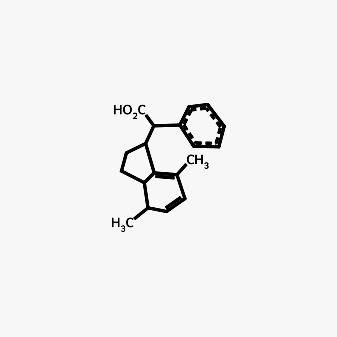 CC1=C2C(CCC2C(C(=O)O)c2ccccc2)C(C)C=C1